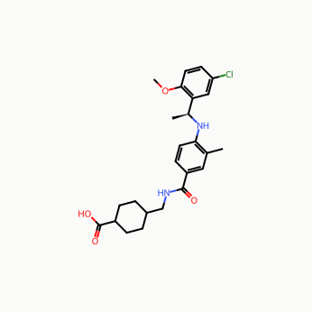 COc1ccc(Cl)cc1[C@H](C)Nc1ccc(C(=O)NCC2CCC(C(=O)O)CC2)cc1C